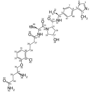 Cc1ncsc1-c1ccc([C@H](C)NC(=O)[C@@H]2C[C@H](O)CN2C(=O)[C@@H](NC(=O)CCCc2cccc(OC[C@@H](N)CCC(N)=O)c2Cl)C(C)(C)C)cc1